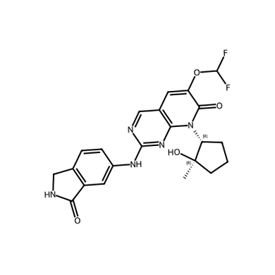 C[C@@]1(O)CCC[C@H]1n1c(=O)c(OC(F)F)cc2cnc(Nc3ccc4c(c3)C(=O)NC4)nc21